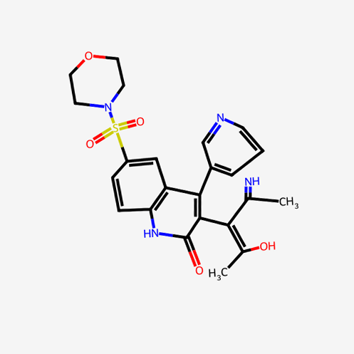 CC(=N)/C(=C(/C)O)c1c(-c2cccnc2)c2cc(S(=O)(=O)N3CCOCC3)ccc2[nH]c1=O